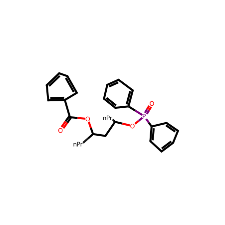 CCCC(CC(CCC)OP(=O)(c1ccccc1)c1ccccc1)OC(=O)c1ccccc1